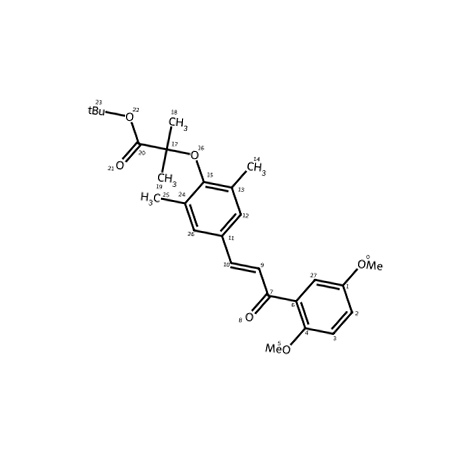 COc1ccc(OC)c(C(=O)/C=C/c2cc(C)c(OC(C)(C)C(=O)OC(C)(C)C)c(C)c2)c1